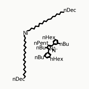 CCCCCCCCCCCCCCCCCCCCCCCCCCC[CH2][Ni][CH2]CCCCCCCCCCCCCCCCCCCCCCCCCCC.CCCCCCc1cc(CCCC)cc(C2=C(CCCC)C(CCCCC)=C(c3cc(CCCC)cc(CCCCCC)c3)[N+]2=[N-])c1